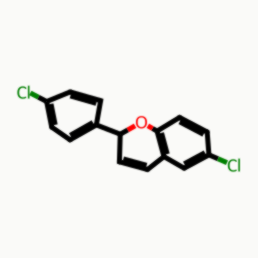 Clc1ccc(C2C=Cc3cc(Cl)ccc3O2)cc1